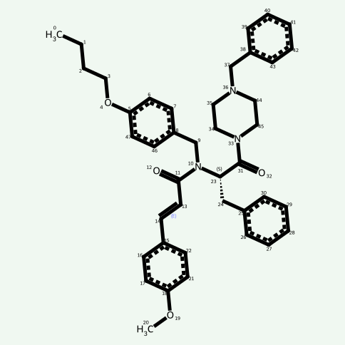 CCCCOc1ccc(CN(C(=O)/C=C/c2ccc(OC)cc2)[C@@H](Cc2ccccc2)C(=O)N2CCN(Cc3ccccc3)CC2)cc1